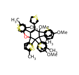 COc1ccc(C2(c3ccc(C)s3)C(Oc3cscc3C)(c3cccs3)C(c3csc(C)c3)=C(c3ccsc3)C(OC)(c3sccc3C)C2(c2ccc(OC)cc2)c2cc(C)cs2)cc1